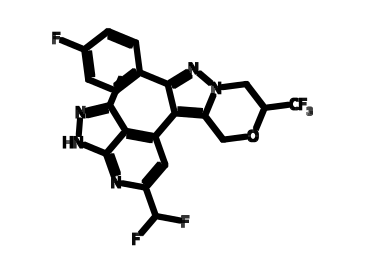 Cc1n[nH]c2nc(C(F)F)cc(-c3c(-c4ccc(F)cc4)nn4c3COC(C(F)(F)F)C4)c12